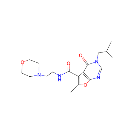 Cc1oc2ncn(CC(C)C)c(=O)c2c1C(=O)NCCN1CCOCC1